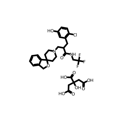 O=C(NCC(F)(F)F)C(Cc1cc(O)ccc1Cl)CN1CCC2(CC1)OCc1ccccc12.O=C(O)CC(O)(CC(=O)O)C(=O)O